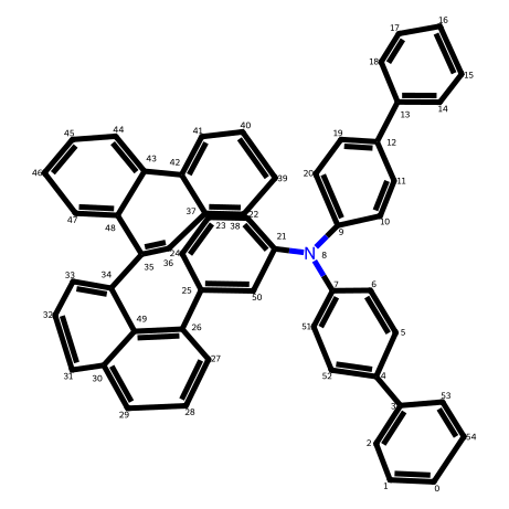 c1ccc(-c2ccc(N(c3ccc(-c4ccccc4)cc3)c3cccc(-c4cccc5cccc(-c6cc7ccccc7c7ccccc67)c45)c3)cc2)cc1